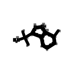 Cc1cccc2c(C(C)(C)N)n[nH]c12